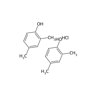 Cc1ccc(O)c(C)c1.Cc1ccc(O)c(C)c1.Cl